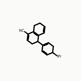 CC(C)C1C=CC(C2CC=C(C#N)C3=C2C=CCC3)=CC1